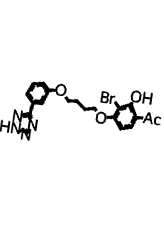 CC(=O)c1ccc(OCCCCOc2cccc(-c3nn[nH]n3)c2)c(Br)c1O